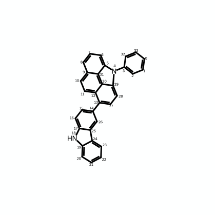 c1ccc(-n2c3cccc4ccc5c(-c6ccc7[nH]c8ccccc8c7c6)ccc2c5c43)cc1